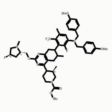 COc1ccc(CN(Cc2ccc(OC)cc2)c2cc(C)c(C(F)(F)F)c(C3Cc4nc(OC[C@@H]5C[C@@H](F)CN5C)nc(C5CCN(C(=O)OC(C)(C)C)C[C@@H]5C)c4CC3C)c2F)cc1